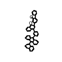 c1cc(-c2c3ccccc3c(-c3cccc4ccccc34)c3ccccc23)cc(-c2cc3c4ccc5c6ccccc6oc5c4oc3c3ccccc23)c1